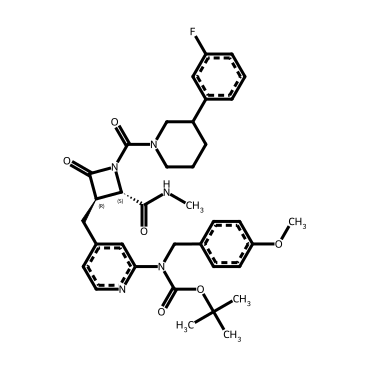 CNC(=O)[C@@H]1[C@@H](Cc2ccnc(N(Cc3ccc(OC)cc3)C(=O)OC(C)(C)C)c2)C(=O)N1C(=O)N1CCCC(c2cccc(F)c2)C1